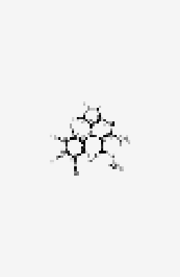 COC(=O)C1=C(C)NC2=C(C(=O)OC2)C1c1c(F)c(F)c(F)c(F)c1F